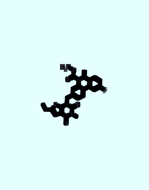 C=C(NC(=O)ON)c1ccc(F)cc1-c1ccc(Cn2c(=O)n(C)c(=O)c3cc(CC)sc32)cc1